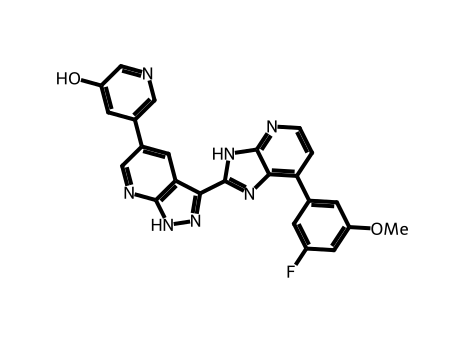 COc1cc(F)cc(-c2ccnc3[nH]c(-c4n[nH]c5ncc(-c6cncc(O)c6)cc45)nc23)c1